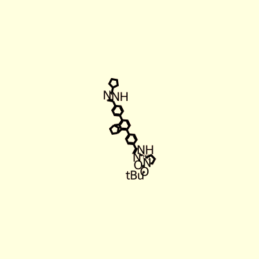 CC(C)(C)OC(=O)N1CCC[C@H]1c1ncc(-c2ccc(-c3ccc(-c4ccc(-c5cnc(C6CCCC6)[nH]5)cc4)c4c3C3CCC4C3)cc2)[nH]1